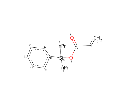 C=CC(=O)O[Si](CCC)(CCC)c1ccccc1